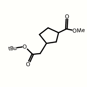 COC(=O)C1CCC(CC(=O)OC(C)(C)C)C1